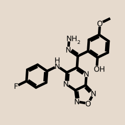 COc1ccc(O)c(C(=NN)c2nc3nonc3nc2Nc2ccc(F)cc2)c1